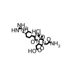 Cl.N=C(N)NC[C@H]1CC[C@H]([C@H](N=C=O)C(=O)N2CCN(CC(N)=O)C(=O)C2CC(=O)O)CC1